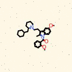 COc1ccc2c(c1)c(CCN1CCCCC1CC1CCCCC1)c(C)n2C(=O)c1ccccc1OC